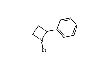 CCN1CCC1c1ccccc1